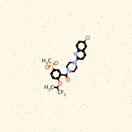 CC(Oc1ccc(S(C)(=O)=O)cc1C(=O)N1CCN(c2ccc3cc(Cl)ccc3n2)CC1)C(F)(F)F